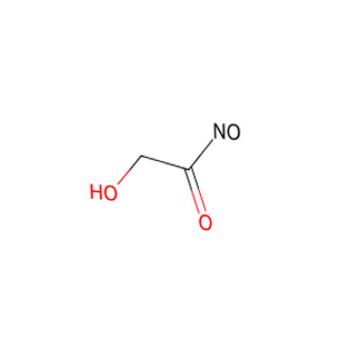 O=NC(=O)CO